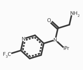 CC(C)N(C(=O)CN)c1ccc(C(F)(F)F)nc1